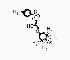 CC(=O)N1C(C)(C)CC(OCC(O)COS(=O)(=O)c2ccc(C)cc2)CC1(C)C